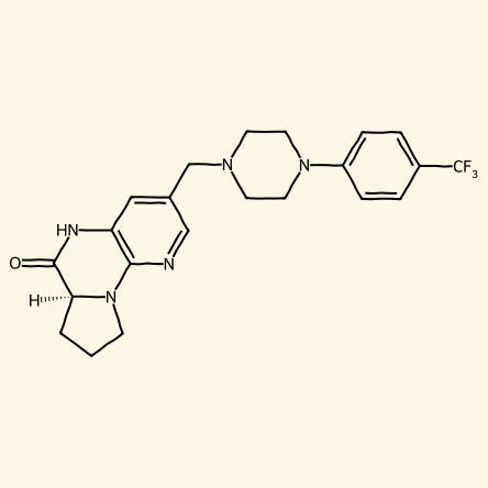 O=C1Nc2cc(CN3CCN(c4ccc(C(F)(F)F)cc4)CC3)cnc2N2CCC[C@@H]12